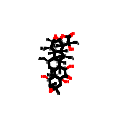 CC(=O)O[C@H]1C[C@H]2[C@H]([C@@H]3[C@@H](C)[C@@H]4[C@H]([C@H](C)[C@H]5O[C@]56OC(=O)[C@@](C)(O)[C@]46C)[C@]31C)[C@@H](O)C(=O)[C@@]1(O)C[C@@H]3O[C@@H]3[C@H](O)[C@]21C